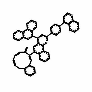 C=C1/C=C\C=C/Cc2ccccc2/C=C\1c1cc2c(-c3cc4ccccc4c4ccccc34)cc(-c3ccc(-c4ccnc5ccccc45)cc3)nc2c2ccccc12